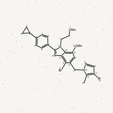 COCCn1c(-c2ccc(C3CC3)cc2)nc2c(Br)c(Cn3ncc(Br)c3C)cc(OC)c21